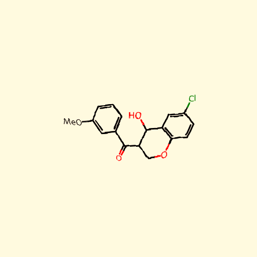 COc1cccc(C(=O)C2COc3ccc(Cl)cc3C2O)c1